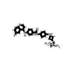 CS(N)(=O)=NC1CC(Nc2ccc(NC(=O)c3ccc(Nc4ccnc5ccc(F)cc45)cc3)cc2)C1